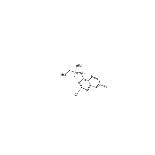 CCCC[C@](C)(CO)Nc1nc(Cl)nc2cc(Cl)cnc12